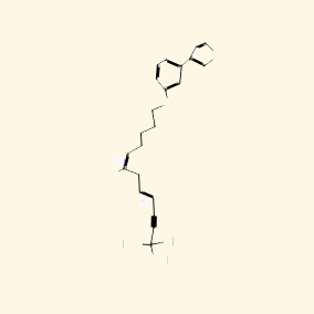 C/C(=C/CCCCOc1cccc(-c2ccsc2)c1)C/C=C/C#CC(C)(C)C